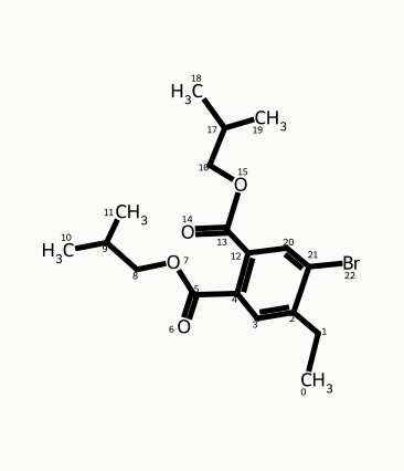 CCc1cc(C(=O)OCC(C)C)c(C(=O)OCC(C)C)cc1Br